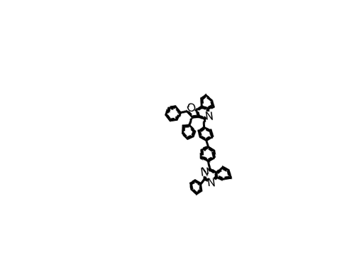 c1ccc(-c2nc(-c3ccc(-c4ccc(-c5nc6ccccc6c6oc(-c7ccccc7)c(-c7ccccc7)c56)cc4)cc3)c3ccccc3n2)cc1